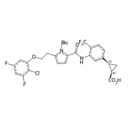 CCC(C)n1c(CCOc2cc(F)cc(F)c2Cl)ccc1C(=O)Nc1cc([C@H]2C[C@H]2C(=O)O)ccc1C(F)(F)F